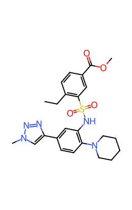 CCc1ccc(C(=O)OC)cc1S(=O)(=O)Nc1cc(-c2cn(C)nn2)ccc1N1CCCCC1